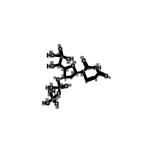 O=c1ccn([C@H]2C[C@H](OP(=O)(O)OP(=O)(O)O)[C@@H](C(O)P(=O)(O)O)O2)c(=O)[nH]1